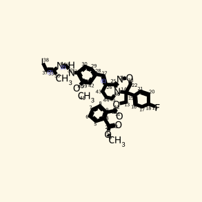 COC(=O)c1ccccc1C(=O)OCC1(C2=CCC(F)C=C2)CON=C2/C(=C/c3ccc(N/C=N\C(C)=C/I)c(OC)c3)CCCN21